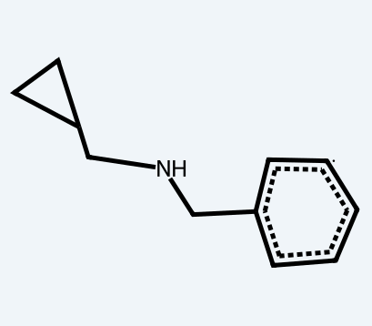 [c]1cccc(CNCC2CC2)c1